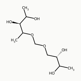 CC(O)[C@H](O)C(C)OCOC[C@H](O)C(C)O